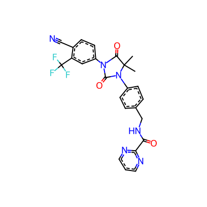 CC1(C)C(=O)N(c2ccc(C#N)c(C(F)(F)F)c2)C(=O)N1c1ccc(CNC(=O)c2ncccn2)cc1